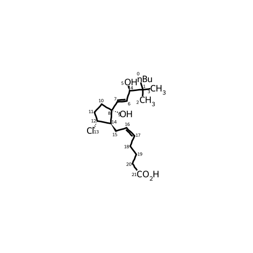 CCCCC(C)(C)[C@H](O)/C=C/[C@]1(O)CC[C@@H](Cl)[C@@H]1C/C=C\CCCC(=O)O